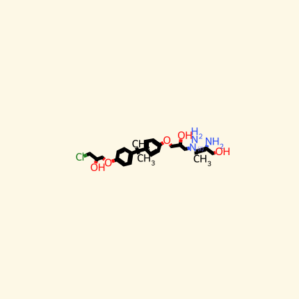 C/C(=C(/N)CO)N(N)CC(O)COc1ccc(C(C)(C)c2ccc(OCC(O)CCl)cc2)cc1